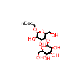 CCCCCCCCCCCO[C@@H]1OC(CO)[C@H](O[C@@H]2OC(CO)[C@@H](O)[C@@H](O)C2O)[C@@H](O)C1O